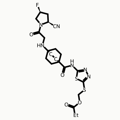 CCC(=O)OCSc1nnc(NC(=O)C23CCC(NCC(=O)N4C[C@@H](F)C[C@H]4C#N)(CC2)CC3)s1